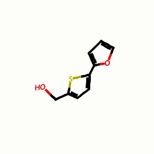 OCc1ccc(-c2ccco2)s1